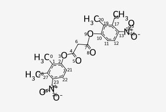 Cc1c(OC(=O)CC(=O)Oc2ccc([N+](=O)[O-])c(C)c2C)ccc([N+](=O)[O-])c1C